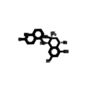 CC[C@H]1C[C@@](O)(C(F)(F)F)[C@@H](Nc2cccc3[nH]c(=O)ccc23)c2cc(C(C)C)cc(O)c21